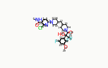 CNC(=O)c1ccc(N2CCC(CC3CCN(C(=O)[C@](O)(c4cc(F)cc(OC)c4)C(F)(F)F)CC3)CC2)nc1Cl